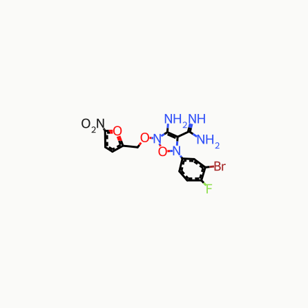 N=C(N)C1=C(N)N(OCc2ccc([N+](=O)[O-])o2)ON1c1ccc(F)c(Br)c1